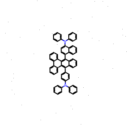 c1ccc(N(c2ccccc2)c2ccc(-c3c4ccccc4c(-c4ccc(N(c5ccccc5)c5ccccc5)c5ccccc45)c4c5ccccc5c5ccccc5c34)cc2)cc1